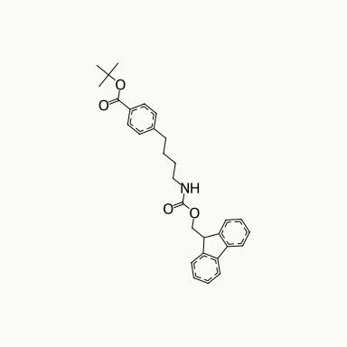 CC(C)(C)OC(=O)c1ccc(CCCCNC(=O)OCC2c3ccccc3-c3ccccc32)cc1